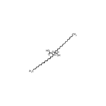 CCCCCCCCCCCCCCCC1OC(CCCCCCCCCCCCCCC)(C(=O)O)OC1C(=O)O